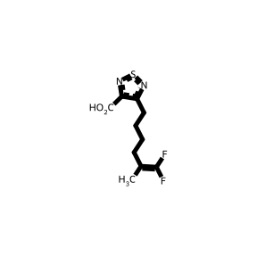 CC(CCCCc1nsnc1C(=O)O)=C(F)F